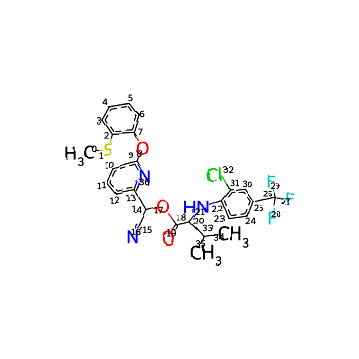 CSc1ccccc1Oc1cccc(C(C#N)OC(=O)C(Nc2ccc(C(F)(F)F)cc2Cl)C(C)C)n1